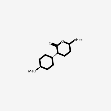 CCCCCCC1CCC([C@H]2CC[C@H](OC)CC2)C(=O)O1